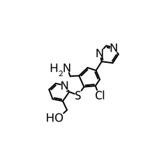 NCc1cc(-c2ccncn2)cc(Cl)c1Sc1ncccc1CO